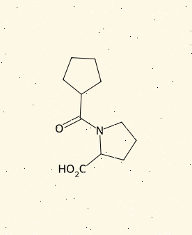 O=C(O)C1CCCN1C(=O)C1CCCC1